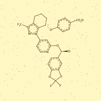 CC[C@H](Oc1cc(-n2nc(C(F)(F)F)c3c2[C@@H](Oc2ccc(C(=O)O)cc2)CCC3)ccn1)c1ccc2c(c1)OC(F)(F)O2